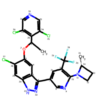 CC(Oc1cc2c(-c3cnc(N4CC[C@H]4C)c(C(F)(F)F)c3)n[nH]c2cc1Cl)c1c(Cl)cncc1Cl